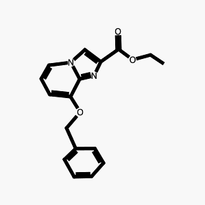 CCOC(=O)c1cn2cccc(OCc3ccccc3)c2n1